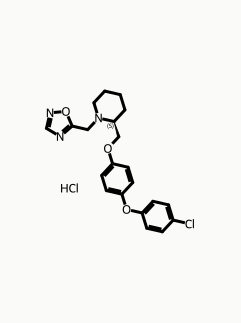 Cl.Clc1ccc(Oc2ccc(OC[C@@H]3CCCCN3Cc3ncno3)cc2)cc1